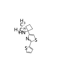 CNC1(c2csc(-c3cccs3)n2)CC[C@H]1C